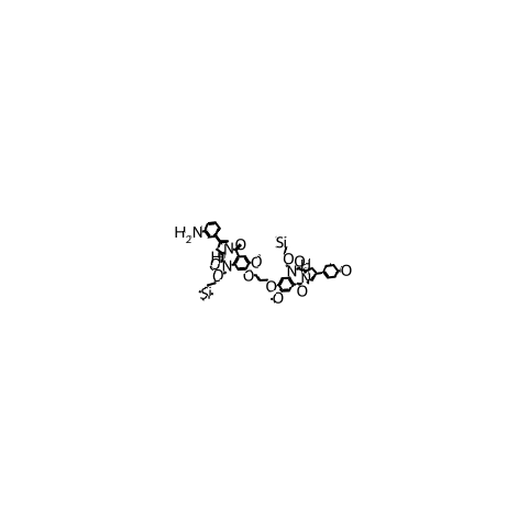 COc1cc2c(cc1OCCCOc1cc3c(cc1OC)C(=O)N1C=C(c4cccc(N)c4)C[C@H]1C(=O)N3COCC[Si](C)(C)C)N(COCC[Si](C)(C)C)C(=O)[C@@H]1CC(C3=CCC(OC)C=C3)=CN1C2=O